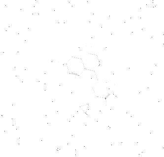 CCC(=O)N(C[C@@H](C)[C@@H]1CC[C@@H](C)[C@]2(O)[C][C@@H](OC(C)=O)C(C)=C[C@H]12)C1CC1